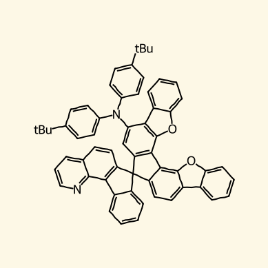 CC(C)(C)c1ccc(N(c2ccc(C(C)(C)C)cc2)c2cc3c(c4oc5ccccc5c24)-c2c(ccc4c2oc2ccccc24)C32c3ccccc3-c3c2ccc2cccnc32)cc1